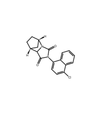 O=C1C2[C@@H]3CC[C@@H](C3)N2C(=O)N1c1ccc(Cl)c2ccccc12